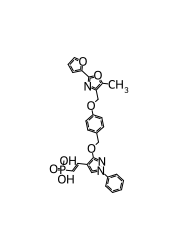 Cc1oc(-c2ccco2)nc1COc1ccc(COc2nn(-c3ccccc3)cc2C=CP(=O)(O)O)cc1